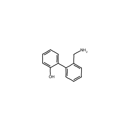 NCc1ccccc1-c1ccccc1O